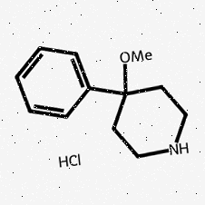 COC1(c2ccccc2)CCNCC1.Cl